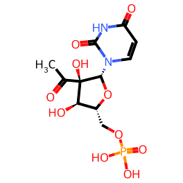 CC(=O)[C@@]1(O)[C@H](O)[C@@H](COP(=O)(O)O)O[C@H]1n1ccc(=O)[nH]c1=O